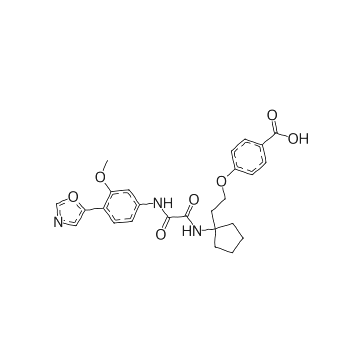 COc1cc(NC(=O)C(=O)NC2(CCOc3ccc(C(=O)O)cc3)CCCC2)ccc1-c1cnco1